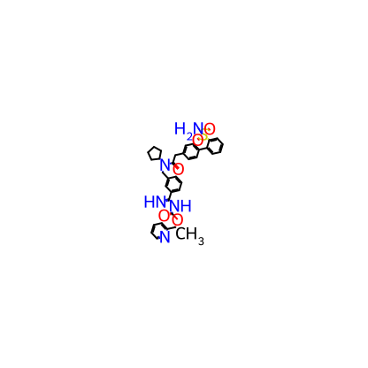 CC(OC(=O)NC(=N)c1cccc(CN(C(=O)Cc2ccc(-c3ccccc3S(N)(=O)=O)cc2)C2CCCC2)c1)c1ccccn1